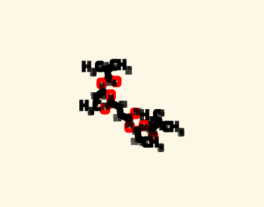 C=C(C)C(=O)OC(CC)OC(=O)CCC(=O)OC(CC)OC(=O)C(=C)C